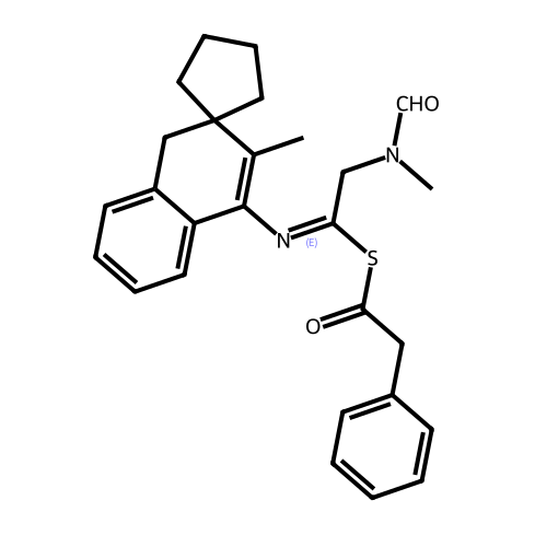 CC1=C(/N=C(\CN(C)C=O)SC(=O)Cc2ccccc2)c2ccccc2CC12CCCC2